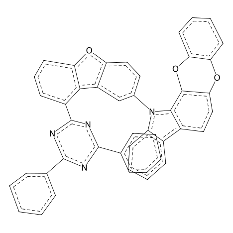 c1ccc(-c2nc(-c3ccccc3)nc(-c3cccc4oc5ccc(-n6c7ccccc7c7ccc8c(c76)Oc6ccccc6O8)cc5c34)n2)cc1